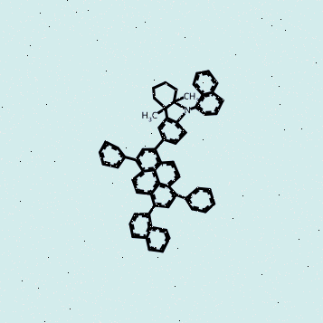 CC12CCCCC1(C)N(c1cccc3ccccc13)c1ccc(-c3cc(-c4ccccc4)c4ccc5c(-c6cccc7ccccc67)cc(-c6ccccc6)c6ccc3c4c65)cc12